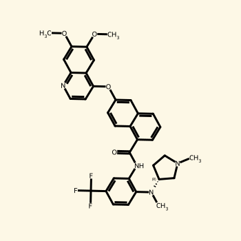 COc1cc2nccc(Oc3ccc4c(C(=O)Nc5cc(C(F)(F)F)ccc5N(C)[C@@H]5CCN(C)C5)cccc4c3)c2cc1OC